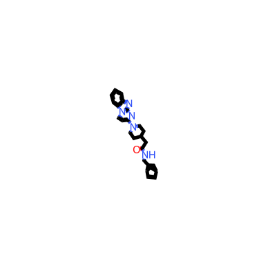 O=C(CC1CCN(c2ccn3c(n2)nc2ccccc23)CC1)NCC1CC2C=CC1C2